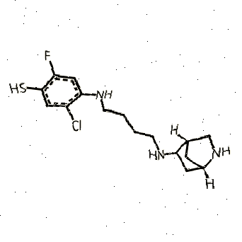 Fc1cc(NCCCCNC2C[C@@H]3C[C@H]2CN3)c(Cl)cc1S